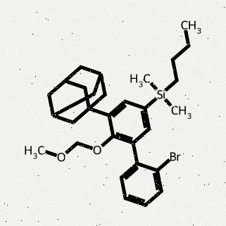 CCCC[Si](C)(C)c1cc(-c2ccccc2Br)c(OCOC)c(C23CC4CC(CC(C4)C2)C3)c1